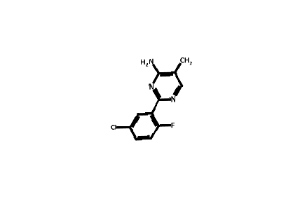 Cc1cnc(-c2cc(Cl)ccc2F)nc1N